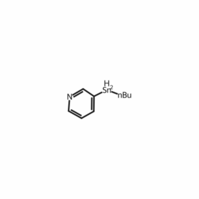 CCC[CH2][SnH2][c]1cccnc1